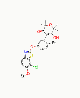 CCOc1ccc2nc(Oc3ccc(CC)c(C4=C(O)C(C)(C)OC(C)(C)C4=O)c3)sc2c1Cl